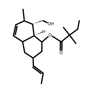 C/C=C/C1CC2C=CC(C)[C@H](CO)[C@H]2C(OC(=O)C(C)(C)CC)C1